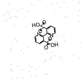 O=S(=O)(O)c1cccnc1-c1ncccc1S(=O)(=O)O